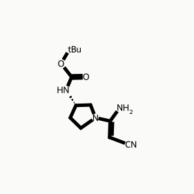 CC(C)(C)OC(=O)N[C@H]1CCN(C(N)=CC#N)C1